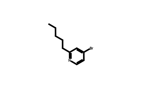 CCCCCc1cc(Br)ccn1